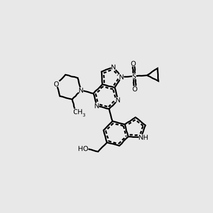 CC1COCCN1c1nc(-c2cc(CO)cc3[nH]ccc23)nc2c1cnn2S(=O)(=O)C1CC1